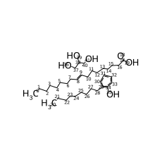 CCCCCCCCC=CCCCCCCCC(=O)O.CCCCCCCCCc1ccccc1O.OCC(O)CO